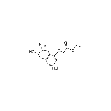 CCOC(=O)COc1cccc2c1CC(N)C(O)C2.Cl